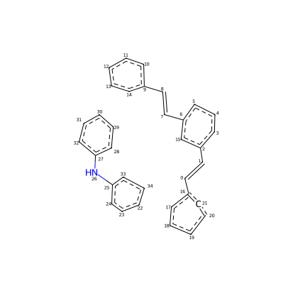 C(=Cc1cccc(C=Cc2ccccc2)c1)c1ccccc1.c1ccc(Nc2ccccc2)cc1